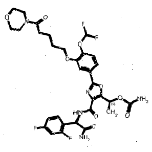 C[C@H](OC(N)=O)c1oc(-c2ccc(OC(F)F)c(OCCCCC(=O)N3CCOCC3)c2)nc1C(=O)NC(C(N)=O)c1ccc(F)cc1F